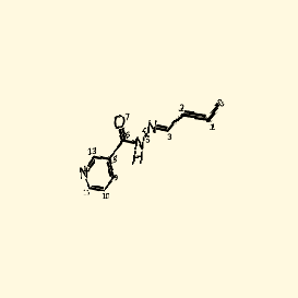 C/C=C/C=N/NC(=O)c1cccnc1